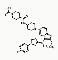 CCc1nc2ccc(N3CCC(NC(=O)C4CCN(C(=O)O)CC4)CC3)nn2c1N(C)c1nc(-c2ccc(F)cc2)cs1